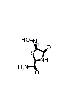 NC(=O)C1NC(=O)/C(=N/O)S1